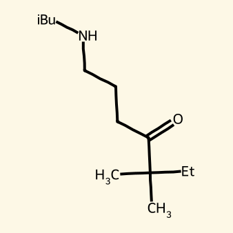 CCC(C)NCCCC(=O)C(C)(C)CC